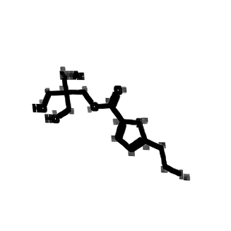 CC(=O)NC(CO)(CO)COC(=O)c1ccc(CCI)s1